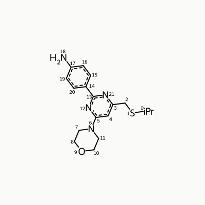 CC(C)SCc1cc(N2CCOCC2)nc(-c2ccc(N)cc2)n1